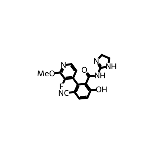 COc1nccc(-c2c(C#N)ccc(O)c2C(=O)NC2=NCCN2)c1F